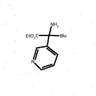 CCOC(=O)C(N)(c1cccnc1)C(C)(C)C